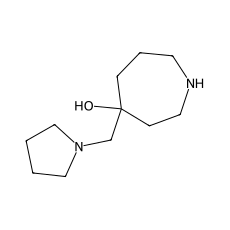 OC1(CN2CCCC2)CCCNCC1